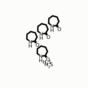 O=C1CCCCCN1.O=C1CCCCCN1.O=C1CCCCCN1.O=C1CCCCCN1.S.S